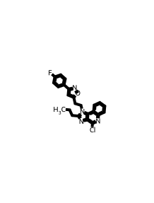 CCCc1nc2c(Cl)nc3ccccc3c2n1CCc1cc(-c2ccc(F)cc2)no1